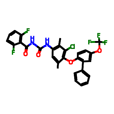 Cc1cc(NC(=O)NC(=O)c2c(F)cccc2F)c(C)c(Cl)c1Oc1ccc(OC(F)(F)F)cc1-c1ccccc1